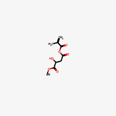 C=C(C)C(=O)OC(=O)CC(O)C(=O)OCCC